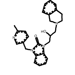 Cc1ccc(Cn2c(=O)n(CC(O)CN3CCc4ccccc4C3)c3ccccc32)cn1